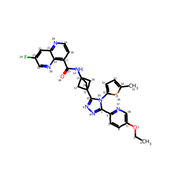 CCOc1ccc(-c2nnc(C34CC(NC(=O)c5ccnc6cc(F)cnc56)(C3)C4)n2-c2ccc(C)s2)nc1